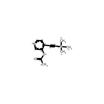 CC(=O)Oc1cnccc1C#C[Si](C)(C)C